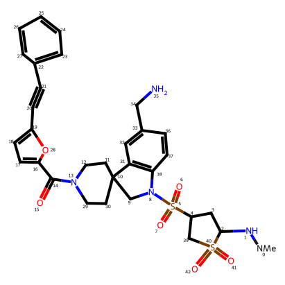 CNNC1CC(S(=O)(=O)N2CC3(CCN(C(=O)c4ccc(C#Cc5ccccc5)o4)CC3)c3cc(CN)ccc32)CS1(=O)=O